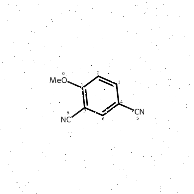 [CH2]Oc1ccc(C#N)cc1C#N